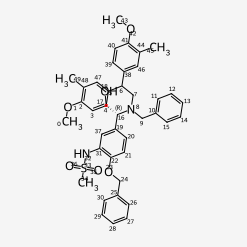 COc1ccc(C(CN(Cc2ccccc2)[C@@H](CO)c2ccc(OCc3ccccc3)c(NS(C)(=O)=O)c2)c2ccc(OC)c(C)c2)cc1C